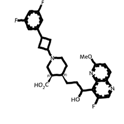 COc1ccc2ncc(F)c(C(O)CC[C@@H]3CCN(C4CC(c5cc(F)cc(F)c5)C4)C[C@@H]3C(=O)O)c2n1